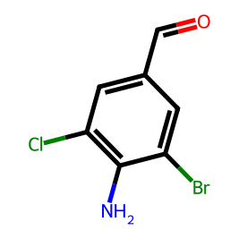 Nc1c(Cl)cc(C=O)cc1Br